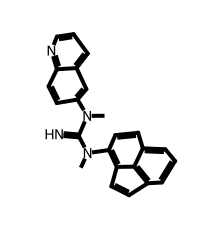 CN(C(=N)N(C)c1ccc2cccc3c2c1C=C3)c1ccc2ncccc2c1